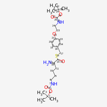 CC(C)(C)OC(=O)NCCCC[C@H](N)C(=O)SCc1ccc(OCCNC(=O)OC(C)(C)C)cc1